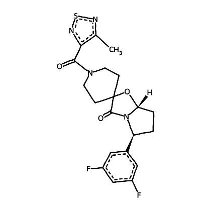 Cc1nsnc1C(=O)N1CCC2(CC1)O[C@@H]1CC[C@@H](c3cc(F)cc(F)c3)N1C2=O